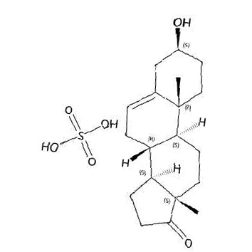 C[C@]12CC[C@H](O)CC1=CC[C@@H]1[C@@H]2CC[C@]2(C)C(=O)CC[C@@H]12.O=S(=O)(O)O